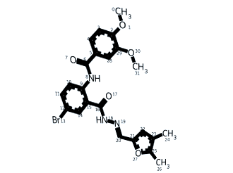 COc1ccc(C(=O)Nc2ccc(Br)cc2C(=O)N/N=C/c2cc(C)c(C)o2)cc1OC